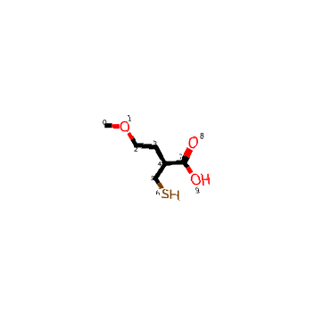 COCCC(CS)C(=O)O